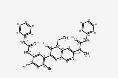 CCn1c(=O)c(-c2cc(NC(=O)Nc3ccccc3)c(F)cc2Br)cc2cnc(N(C)C(=O)Nc3ccccc3)cc21